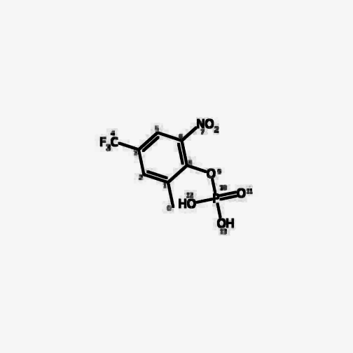 Cc1cc(C(F)(F)F)cc([N+](=O)[O-])c1OP(=O)(O)O